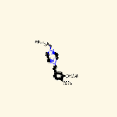 COc1ccc(CCN2CCN(C(=O)O)CC2)cc1OC